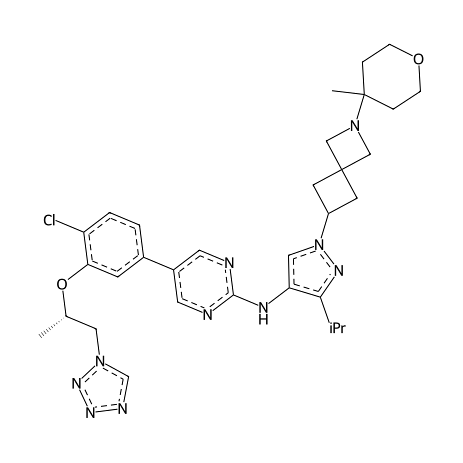 CC(C)c1nn(C2CC3(C2)CN(C2(C)CCOCC2)C3)cc1Nc1ncc(-c2ccc(Cl)c(O[C@@H](C)Cn3cnnn3)c2)cn1